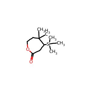 CC1(C)CCOC(=O)CC1[Si](C)(C)C